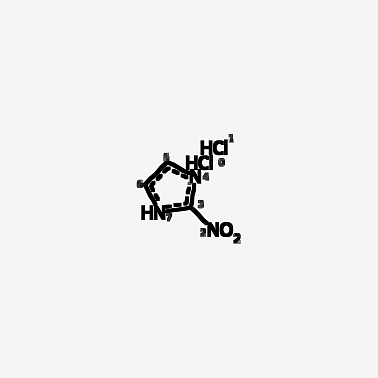 Cl.Cl.O=[N+]([O-])c1ncc[nH]1